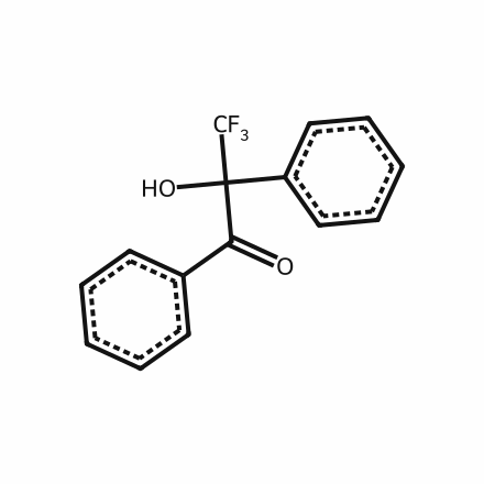 O=C(c1ccccc1)C(O)(c1ccccc1)C(F)(F)F